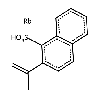 C=C(C)c1ccc2ccccc2c1S(=O)(=O)O.[Rb]